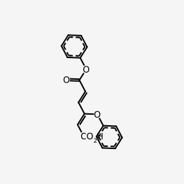 O=C(O)C=C(C=CC(=O)Oc1ccccc1)Oc1ccccc1